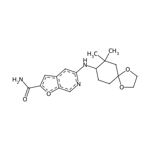 CC1(C)CC2(CCC1Nc1cc3cc(C(N)=O)oc3cn1)OCCO2